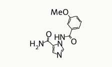 COc1cccc(C(=O)Nn2cncc2C(N)=O)c1